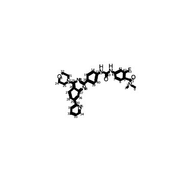 CN(C)C(=O)c1ccc(NC(=O)Nc2ccc(-c3nc(N4CCOCC4)c4ccc(-c5ccccn5)cc4n3)cc2)cc1F